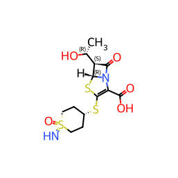 C[C@@H](O)[C@H]1C(=O)N2C(C(=O)O)=C(S[C@H]3CC[S@](=N)(=O)CC3)S[C@H]12